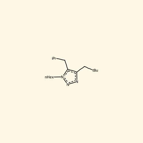 CCCCCCn1nnc(CC(C)(C)C)c1CC(C)C